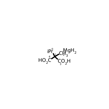 CC(C)C(C)(C(=O)O)C(=O)O.[MgH2]